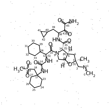 C=NC[C@]1(C)C[C@H]2[C@H](CN(C(=O)[C@@H](NC(=O)NC3(CS(C)(=O)=O)CCCCC3)C3CCCCC3)[C@@H]2C(=O)NC(CC2CC2)C(=O)C(N)=O)O1